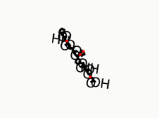 O=C(O)CCCOC(=O)CNC(=O)OC1CCCC(C(OC(=O)CCCOC(=O)CNC(=O)OC2CCCCC2)c2ccccc2)C1